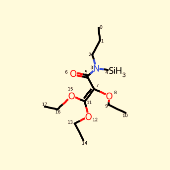 CCCN([SiH3])C(=O)C(OCC)=C(OCC)OCC